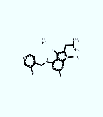 CC(N)Cc1c(F)c2c(NCc3ccncc3F)nc(Cl)nc2n1C.Cl.Cl